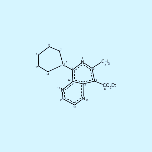 CCOC(=O)c1c(C)nc(N2CCCCC2)c2nccnc12